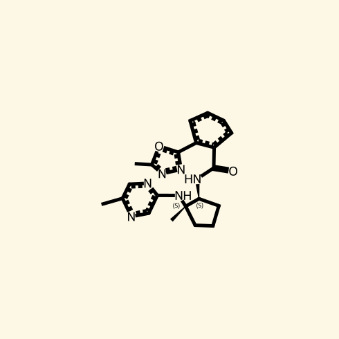 Cc1cnc(N[C@@]2(C)CCC[C@@H]2NC(=O)c2ccccc2-c2nnc(C)o2)cn1